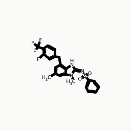 Cc1cc(Cc2ccc(C(F)(F)F)c(F)c2)c2[nH]c(=NS(=O)(=O)c3ccccc3)n(C)c2c1